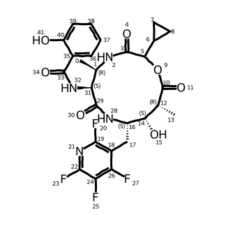 C[C@H]1NC(=O)C(C2CC2)OC(=O)[C@H](C)[C@H](O)[C@H](Cc2c(F)nc(F)c(F)c2F)NC(=O)[C@H]1NC(=O)c1ccccc1O